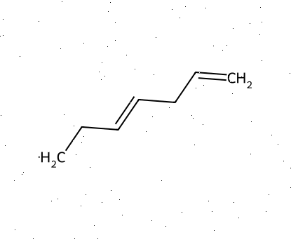 [CH2]CC=CCC=C